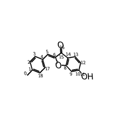 Cc1ccc(/C=C2\Oc3cc(O)ccc3C2=O)cc1